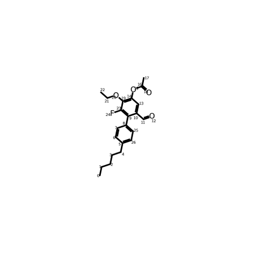 CCCCCc1ccc(-c2c(C=O)cc(OC(C)=O)c(OCC)c2F)cc1